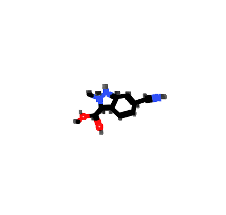 COC(=O)c1c2ccc(C#N)cc2nn1C